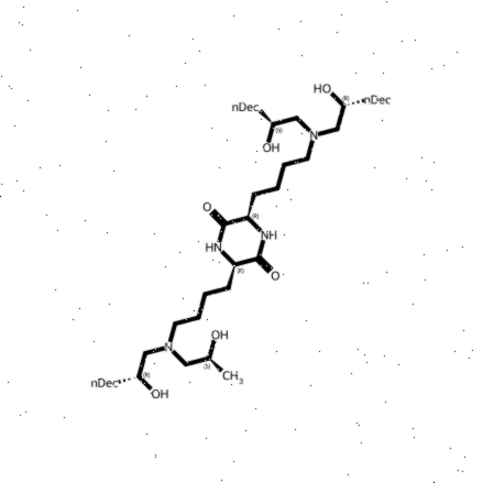 CCCCCCCCCC[C@@H](O)CN(CCCC[C@H]1NC(=O)[C@@H](CCCCN(C[C@H](O)CCCCCCCCCC)C[C@H](C)O)NC1=O)C[C@@H](O)CCCCCCCCCC